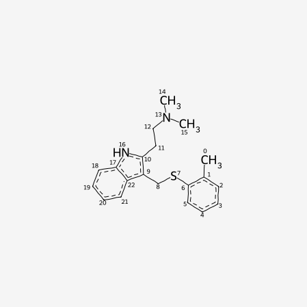 Cc1ccccc1SCc1c(CCN(C)C)[nH]c2ccccc12